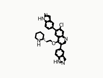 Clc1cc2ncc(-c3ccc4[nH]ncc4c3)c(OCC[C@H]3CCCCN3)c2cc1-c1ccc2[nH]ncc2c1